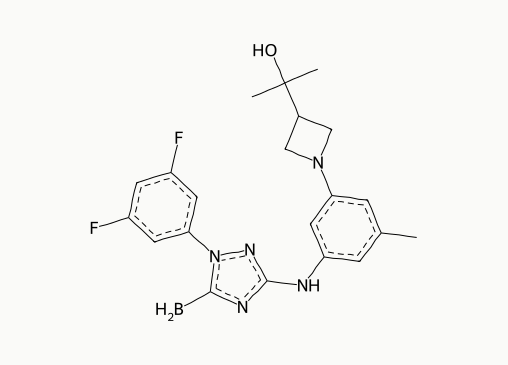 Bc1nc(Nc2cc(C)cc(N3CC(C(C)(C)O)C3)c2)nn1-c1cc(F)cc(F)c1